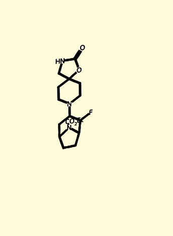 CCOC(=O)N1C2CCC1C(F)C(N1CCC3(CC1)CNC(=O)O3)C2